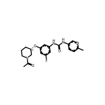 CC(=O)N1CCC[C@H](Oc2cc(F)cc(NC(=O)Nc3ccc(C)nc3)c2)C1